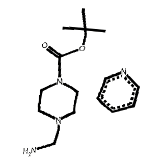 CC(C)(C)OC(=O)N1CCN(CN)CC1.c1ccncc1